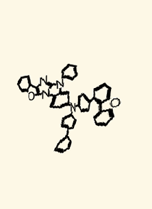 c1ccc(-c2ccc(N(c3ccc(-c4cccc5oc6ccccc6c45)cc3)c3ccc4c(c3)n(-c3ccccc3)c3nc5c6ccccc6oc5n43)cc2)cc1